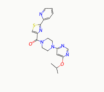 CC(C)Oc1cc(N2CCN(C(=O)c3csc(-c4ccccn4)n3)CC2)ncn1